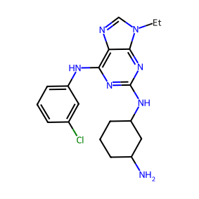 CCn1cnc2c(Nc3cccc(Cl)c3)nc(NC3CCCC(N)C3)nc21